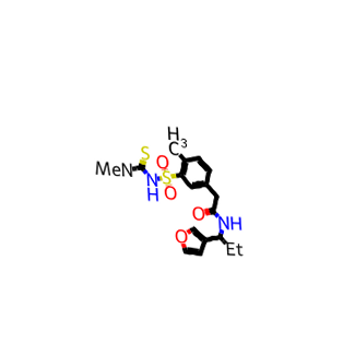 CCC(NC(=O)Cc1ccc(C)c(S(=O)(=O)NC(=S)NC)c1)c1ccoc1